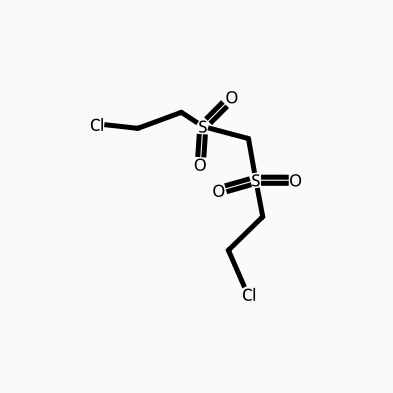 O=S(=O)(CCCl)CS(=O)(=O)CCCl